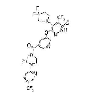 C[C@@H]1CN(C(=O)c2cncc(Oc3n[nH]c(=O)c(C(F)(F)F)c3N3CCC(F)(F)CC3)c2)CCN1c1cnc(C(F)(F)F)cn1